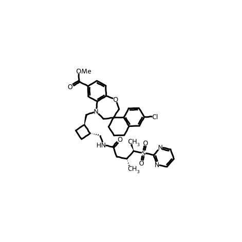 COC(=O)c1ccc2c(c1)N(C[C@@H]1CC[C@H]1CNC(=O)C[C@@H](C)[C@@H](C)S(=O)(=O)c1ncccn1)CC1(CCCc3cc(Cl)ccc31)CO2